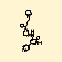 O=C(C=CCN1CCCCC1)N1CCC[C@@H](Nc2cc(-c3ccncc3)c[nH]c2=O)C1